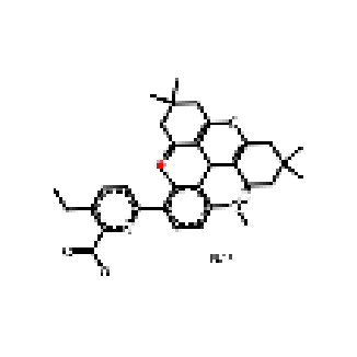 CCc1ccc(-c2ccc(OC)c(C3C4=C(CC(C)(C)CC4=O)OC4=C3C(=O)CC(C)(C)C4)c2C)nc1C(=O)[O-].[Na+]